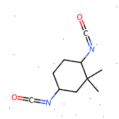 CC1(C)CC(N=C=O)CCC1N=C=O